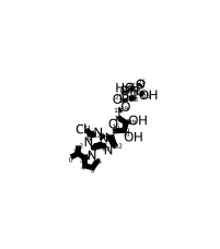 CC(C)C1CCCN1c1nc(Cl)nn2c([C@@H]3O[C@H](COP(=O)(O)CP(=O)(O)O)[C@@H](O)[C@H]3O)cnc12